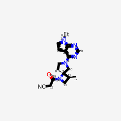 CCn1ccc2c(N3CC[C@]4(C3)[C@@H](C)CN4C(=O)CC#N)ncnc21